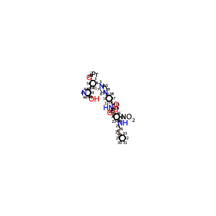 CC(C)Oc1cc(CN2CCN(c3ccc(C(=O)NS(=O)(=O)c4ccc(NCCSc5ccccc5)c([N+](=O)[O-])c4)cc3)CC2)cc(-c2cncc(O)c2)c1